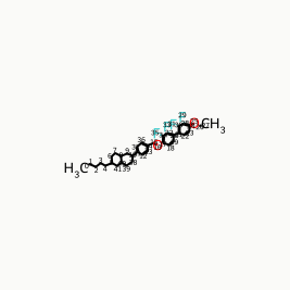 CCCCCC1CCC2CC(c3ccc(COc4ccc(-c5ccc(OCC)c(F)c5F)c(F)c4F)cc3)CCC2C1